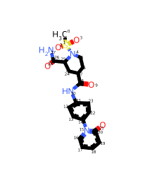 CS(=O)(=O)N1CCC(C(=O)Nc2ccc(-n3ccccc3=O)cc2)[CH]C1C(N)=O